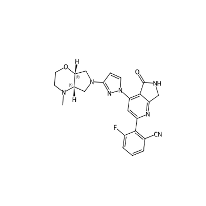 CN1CCO[C@@H]2CN(c3ccn(-c4cc(-c5c(F)cccc5C#N)nc5c4C(=O)NC5)n3)C[C@@H]21